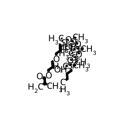 C=C(C)C(=O)OCC(O)COCCC[Si](C)(C)O[Si](C)(C)O[Si](C)(C)O[Si](C)(C)O[Si](C)(C)CCCC